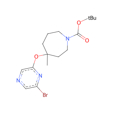 CC(C)(C)OC(=O)N1CCCC(C)(Oc2cncc(Br)n2)CC1